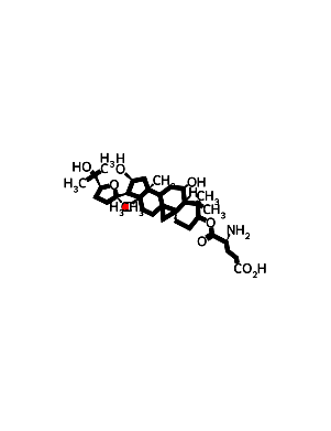 CC(C)(O)[C@@H]1CC[C@](C)([C@H]2[C@@H](O)C[C@@]3(C)C4C[C@H](O)[C@H]5C(C)(C)C(OC(=O)[C@H](N)CCC(=O)O)CC[C@@]56CC46CC[C@]23C)O1